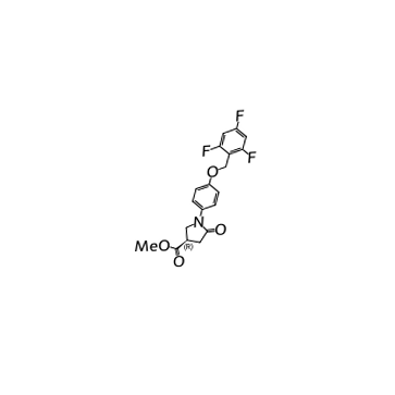 COC(=O)[C@@H]1CC(=O)N(c2ccc(OCc3c(F)cc(F)cc3F)cc2)C1